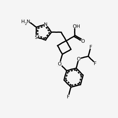 Nc1nc(CC2(C(=O)O)CC(Oc3cc(F)ccc3OC(F)F)C2)cs1